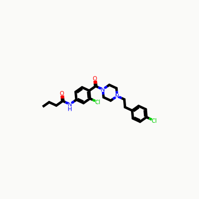 CCCC(=O)Nc1ccc(C(=O)N2CCN(CCc3ccc(Cl)cc3)CC2)c(Cl)c1